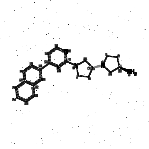 N[C@@H]1CCN([C@@H]2CCN(c3nccc(-c4ccc5ccccc5c4)n3)C2)C1